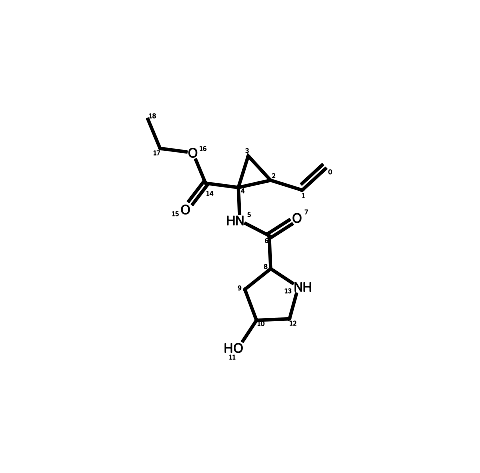 C=CC1CC1(NC(=O)C1CC(O)CN1)C(=O)OCC